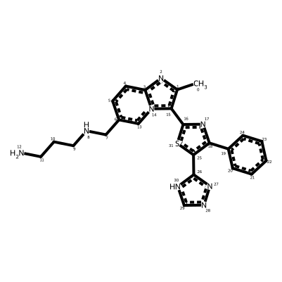 Cc1nc2ccc(CNCCCN)cn2c1-c1nc(-c2ccccc2)c(-c2nnc[nH]2)s1